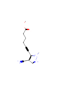 COC(=O)CCCC#Cc1c(C#N)cnn1C